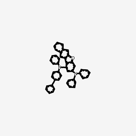 c1ccc(-c2ccc(N(c3ccccc3)c3cc(N(c4ccccc4)c4ccccc4)cc4oc5cc6ccccc6cc5c34)cc2)cc1